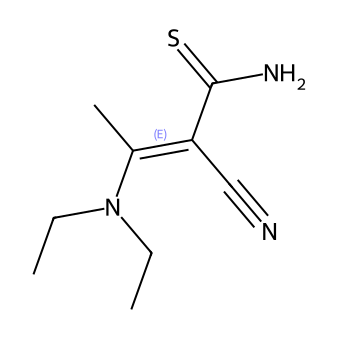 CCN(CC)/C(C)=C(\C#N)C(N)=S